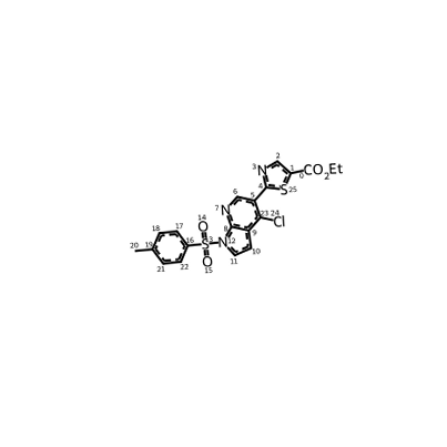 CCOC(=O)c1cnc(-c2cnc3c(ccn3S(=O)(=O)c3ccc(C)cc3)c2Cl)s1